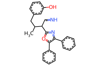 CC(Cc1cccc(O)c1)C(C=N)c1nc(-c2ccccc2)c(-c2ccccc2)o1